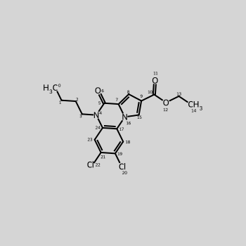 CCCCn1c(=O)c2cc(C(=O)OCC)cn2c2cc(Cl)c(Cl)cc21